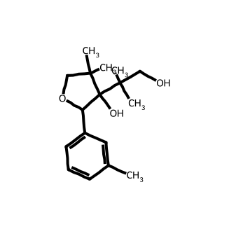 Cc1cccc(C2OCC(C)(C)C2(O)C(C)(C)CO)c1